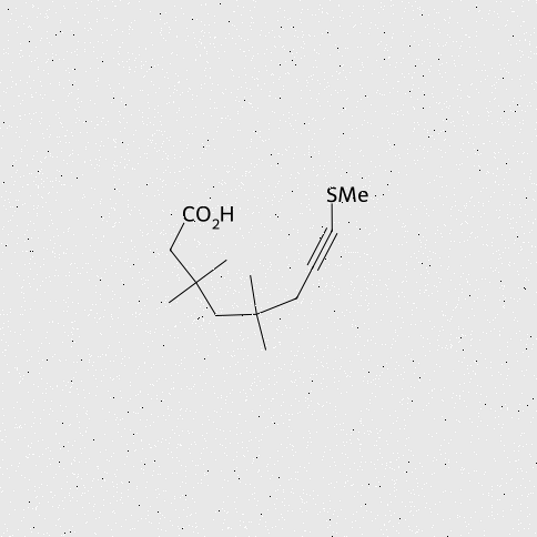 CSC#CCC(C)(C)CC(C)(C)CC(=O)O